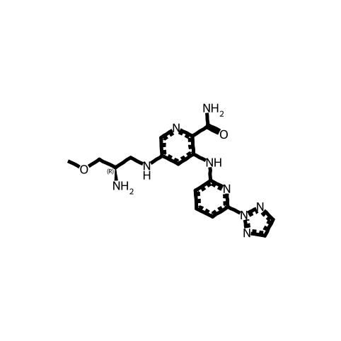 COC[C@H](N)CNc1cnc(C(N)=O)c(Nc2cccc(-n3nccn3)n2)c1